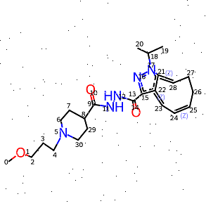 COCCCN1CCC(C(=O)NNC(=O)c2nn(C(C)C)c3/c2=C\C=C/CC/C=3)CC1